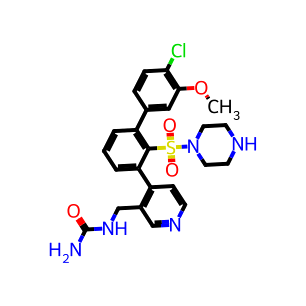 COc1cc(-c2cccc(-c3ccncc3CNC(N)=O)c2S(=O)(=O)N2CCNCC2)ccc1Cl